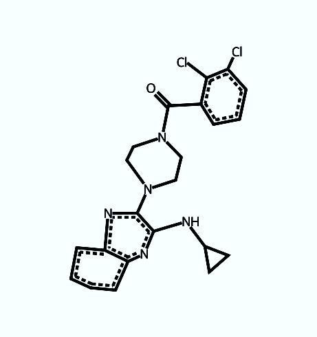 O=C(c1cccc(Cl)c1Cl)N1CCN(c2nc3ccccc3nc2NC2CC2)CC1